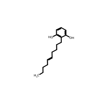 CCCCC=CCCCCc1c(O)cccc1O